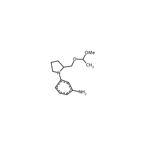 COC(C)OCC1CCCN1c1cccc(N)c1